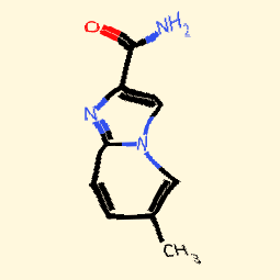 Cc1ccc2nc(C(N)=O)cn2c1